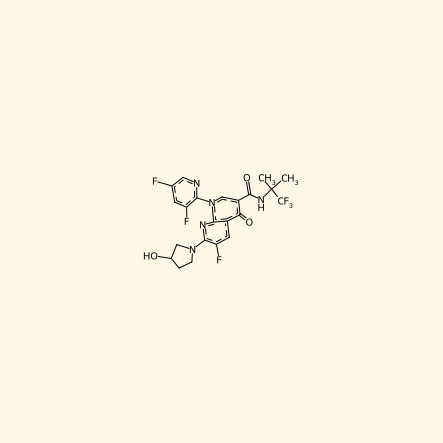 CC(C)(NC(=O)c1cn(-c2ncc(F)cc2F)c2nc(N3CCC(O)C3)c(F)cc2c1=O)C(F)(F)F